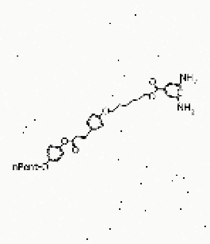 CCCCCOc1ccc(OC(=O)C=Cc2ccc(OCCCCCCOC(=O)c3cc(N)cc(N)c3)cc2)cc1